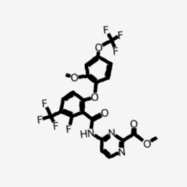 COC(=O)c1nccc(NC(=O)c2c(Oc3ccc(OC(F)(F)F)cc3OC)ccc(C(F)(F)F)c2F)n1